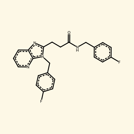 O=C(CCc1nc2cccnc2n1Cc1ccc(F)cc1)NCc1ccc(F)cc1